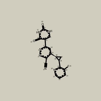 N#Cc1nnc(-c2c[nH]c(=O)[nH]c2=O)cc1[C@H]1CC1c1ncccc1F